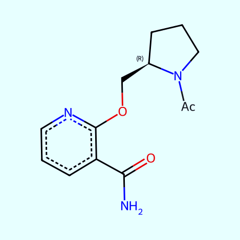 CC(=O)N1CCC[C@@H]1COc1ncccc1C(N)=O